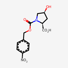 O=C(O)[C@@H]1C[C@H](O)CN1C(=O)OCc1ccc([N+](=O)[O-])cc1